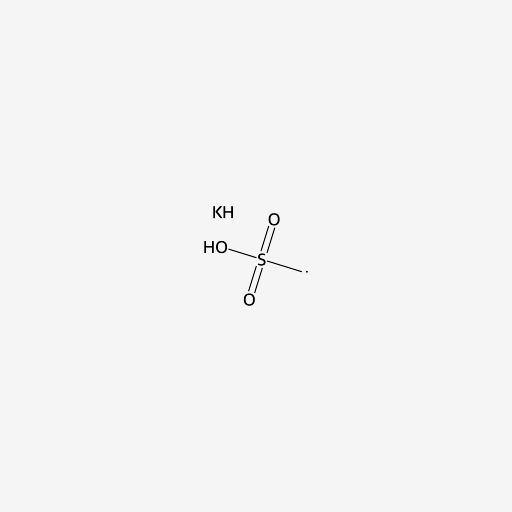 [CH2]S(=O)(=O)O.[KH]